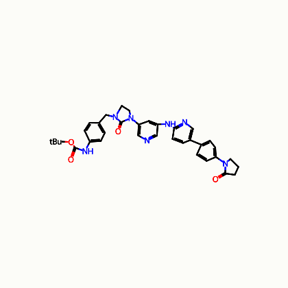 CC(C)(C)OC(=O)Nc1ccc(CN2CCN(c3cncc(Nc4ccc(-c5ccc(N6CCCC6=O)cc5)cn4)c3)C2=O)cc1